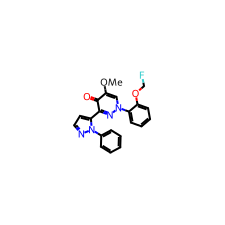 COc1cn(-c2ccccc2OCF)nc(-c2ccnn2-c2ccccc2)c1=O